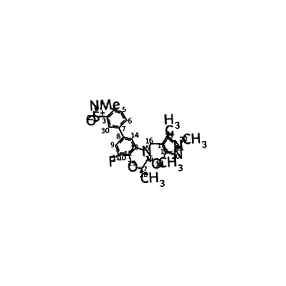 CN[S+]([O-])c1cccc(-c2cc(F)c3c(c2)N(Cc2c(C)nn(C)c2C)C(=O)[C@@H](C)O3)c1